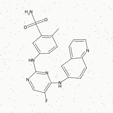 Cc1ccc(Nc2ncc(F)c(Nc3ccc4ncccc4c3)n2)cc1S(N)(=O)=O